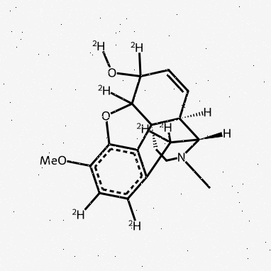 [2H]OC1([2H])C=C[C@H]2[C@@H]3N(C)CC[C@@]24c2c(c(OC)c([2H])c([2H])c2C3([2H])[2H])OC14[2H]